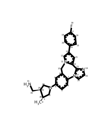 C[C@H]1CN(c2ccc3c(c2)Cn2cc(-c4ccc(F)cc4)cc2-c2nccn2-3)C[C@@H]1CN